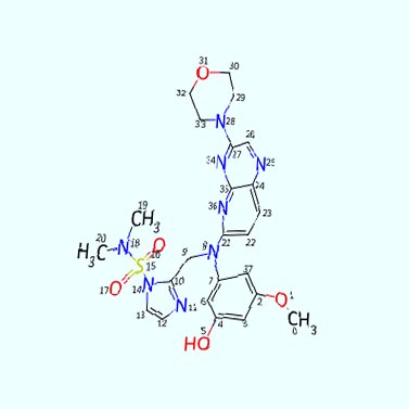 COc1cc(O)cc(N(Cc2nccn2S(=O)(=O)N(C)C)c2ccc3ncc(N4CCOCC4)nc3n2)c1